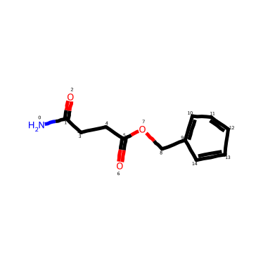 NC(=O)[CH]CC(=O)OCc1ccccc1